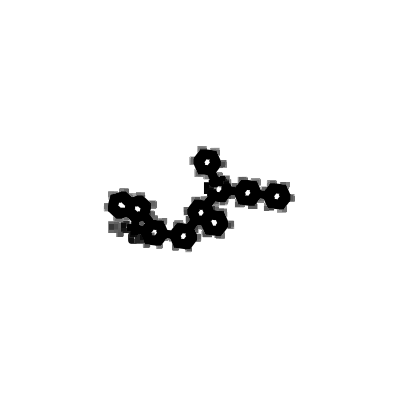 CC1(C)c2ccc(-c3cccc(-c4ccc(-c5cc(-c6ccc(-c7ccccc7)cc6)nc(-c6ccccc6)n5)c5ccccc45)c3)cc2-c2ccc3ccccc3c21